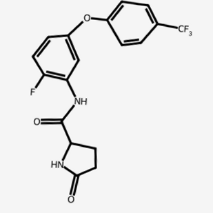 O=C1CCC(C(=O)Nc2cc(Oc3ccc(C(F)(F)F)cc3)ccc2F)N1